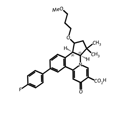 COCCCOC1CC(C)(C)[C@@H]2[C@H]1c1ccc(-c3ccc(F)cc3)cc1-c1cc(=O)c(C(=O)O)cn12